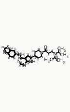 CC(C)N(CCC(=O)N1CC=C(c2cc3c(Nc4ccc5ncsc5c4)ncnc3[nH]2)CC1)C(C)C